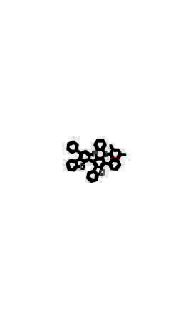 Cc1cc(C)c(B2c3ccccc3-n3c4cc(-c5ccccc5)c5c6ccccc6oc5c4c4c5c(oc6ccccc65)c(-c5ccccc5)c2c43)c(C)c1